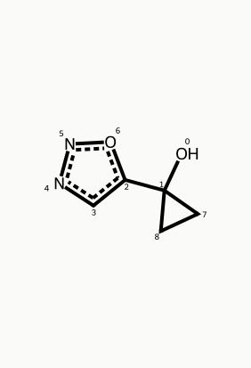 OC1(c2cnno2)CC1